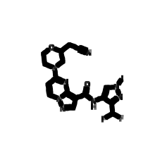 N#CCC1CN(c2ccn3ncc(C(=O)Nc4cn(I)nc4C(F)F)c3n2)CCO1